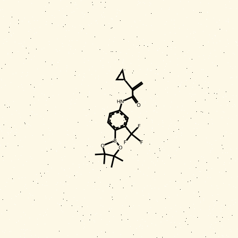 C=C(C(=O)Nc1ccc(B2OC(C)(C)C(C)(C)O2)c(C(F)(F)F)c1)C1CC1